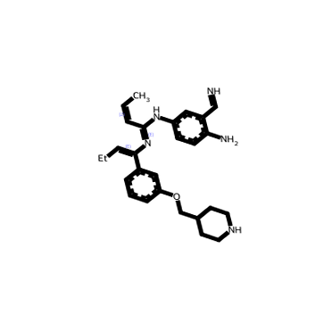 C\C=C/C(=N\C(=C\CC)c1cccc(OCC2CCNCC2)c1)Nc1ccc(N)c(C=N)c1